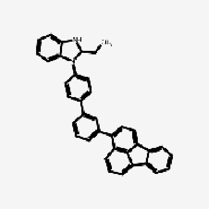 CCC1Nc2ccccc2N1c1ccc(-c2cccc(-c3ccc4c5c(cccc35)-c3ccccc3-4)c2)cc1